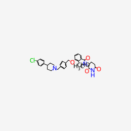 CN(C(=O)c1cccc(OCc2ccc(CN3CCC(c4ccc(Cl)cc4)CC3)cc2)c1C=O)C1CCC(=O)NC1=O